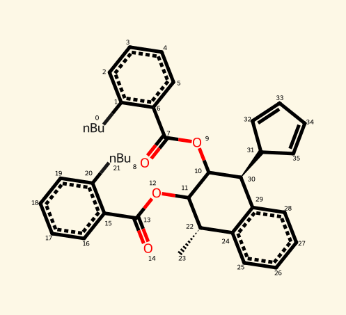 CCCCc1ccccc1C(=O)OC1C(OC(=O)c2ccccc2CCCC)[C@@H](C)c2ccccc2[C@@H]1C1C=CC=C1